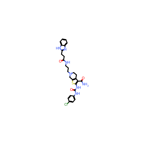 NC(=O)c1c(NC(=O)Nc2ccc(Cl)cc2)sc2c1CCN(CCCNC(=O)CCc1nc3ccccc3[nH]1)C2